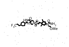 COCCN(C(N)=O)c1cc(C)c(/C=C/S(=O)(=O)N2CCC3(CC2)N=C(C2CCC(CCC(F)(F)F)CC2)NC3=O)c(C)c1